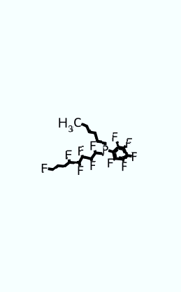 CCCCCCP(CC(F)C(F)C(F)C(F)C(F)CCCF)c1c(F)c(F)c(F)c(F)c1F